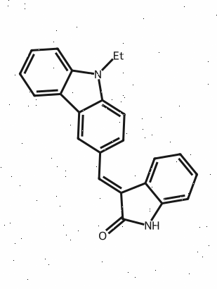 CCn1c2ccccc2c2cc(/C=C3/C(=O)Nc4ccccc43)ccc21